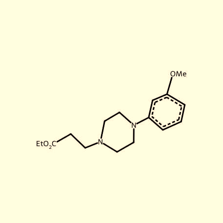 CCOC(=O)CCN1CCN(c2cccc(OC)c2)CC1